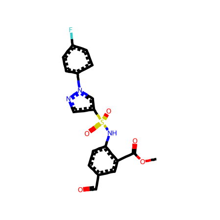 COC(=O)c1cc(C=O)ccc1NS(=O)(=O)c1cnn(-c2ccc(F)cc2)c1